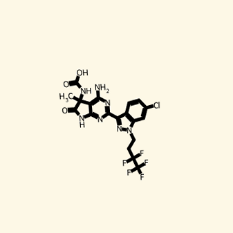 CC1(NC(=O)O)C(=O)Nc2nc(-c3nn(CCC(F)(F)C(F)(F)F)c4cc(Cl)ccc34)nc(N)c21